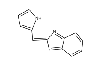 C(=C1C=c2ccccc2=N1)c1ccc[nH]1